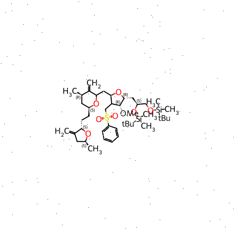 C=C1C(CC2O[C@H](C[C@@H](CO[Si](C)(C)C(C)(C)C)O[Si](C)(C)C(C)(C)C)[C@H](OC)C2CS(=O)(=O)c2ccccc2)O[C@@H](CC[C@@H]2O[C@@H](C)CC2=C)C[C@H]1C